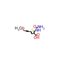 COCC#Cc1cc(C(=O)O)c(NC(N)=O)s1